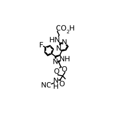 CC1(C(=O)NCC#N)COC(c2nc(-c3ccc(F)cc3)c(-c3ccnc(NCCC(=O)O)n3)[nH]2)OC1